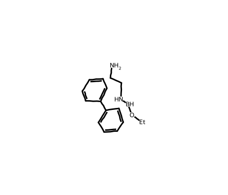 CCOBNCCN.c1ccc(-c2ccccc2)cc1